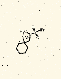 CNC1(CN(C)S(=O)(=O)C(C)C)CCCCC1